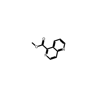 COC(=O)c1nccc2ncccc12